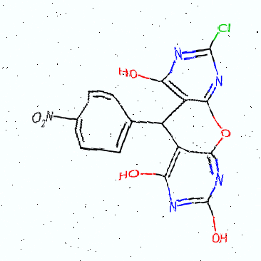 O=[N+]([O-])c1ccc(C2c3c(O)nc(O)nc3Oc3nc(Cl)nc(O)c32)cc1